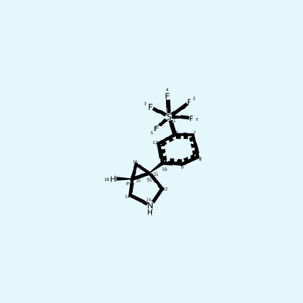 FS(F)(F)(F)(F)c1cccc([C@@]23CNC[C@@H]2C3)c1